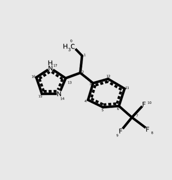 CCC(c1ccc(C(F)(F)F)cc1)c1ncc[nH]1